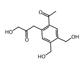 CC(=O)c1cc(CO)c(CO)cc1CC(=O)CO